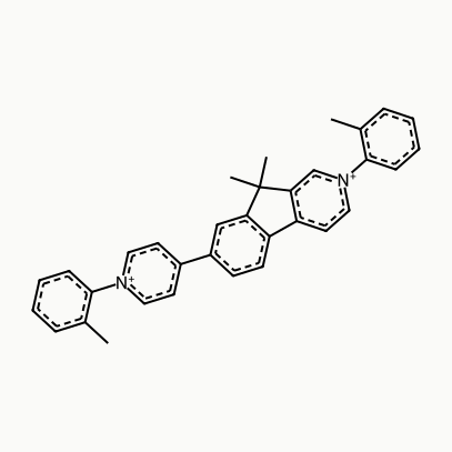 Cc1ccccc1-[n+]1ccc(-c2ccc3c(c2)C(C)(C)c2c[n+](-c4ccccc4C)ccc2-3)cc1